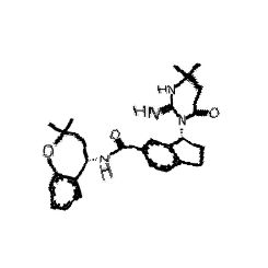 CC1(C)CC(=O)N([C@@H]2CCc3ccc(C(=O)N[C@H]4CC(C)(C)Oc5ccccc54)cc32)C(=N)N1